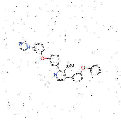 CC(C)(C)c1c(-c2cccc(Oc3ccccc3)c2)ccnc1-c1cccc(Oc2cccc(-n3ccnc3)c2)c1